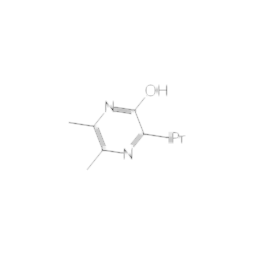 Cc1nc(O)c(C(C)C)nc1C